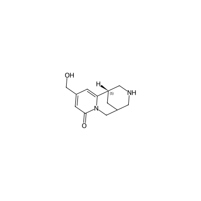 O=c1cc(CO)cc2n1CC1CNC[C@@H]2C1